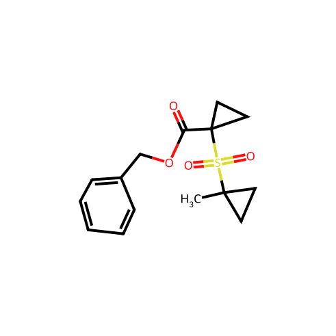 CC1(S(=O)(=O)C2(C(=O)OCc3ccccc3)CC2)CC1